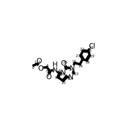 CC(=O)OCC(=O)Nc1ccc2ncn(CCc3ccc(Cl)cc3)c(=O)n12